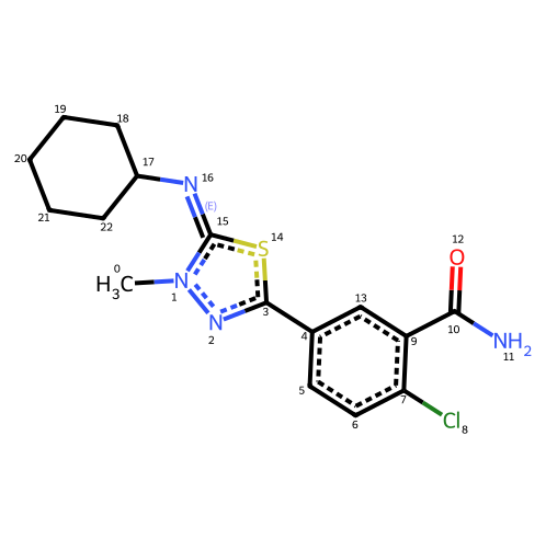 Cn1nc(-c2ccc(Cl)c(C(N)=O)c2)s/c1=N/C1CCCCC1